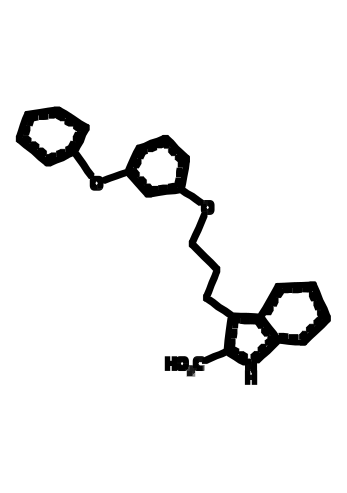 O=C(O)c1[nH]c2ccccc2c1CCCOc1cccc(Oc2ccccc2)c1